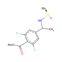 COC(=O)c1c(F)cc(C(C)N[S@+]([O-])C(C)(C)C)cc1F